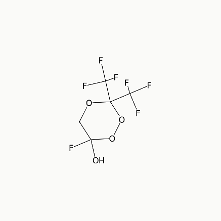 OC1(F)COC(C(F)(F)F)(C(F)(F)F)OO1